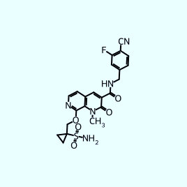 Cn1c(=O)c(C(=O)NCc2ccc(C#N)c(F)c2)cc2ccnc(OCC3(S(N)(=O)=O)CC3)c21